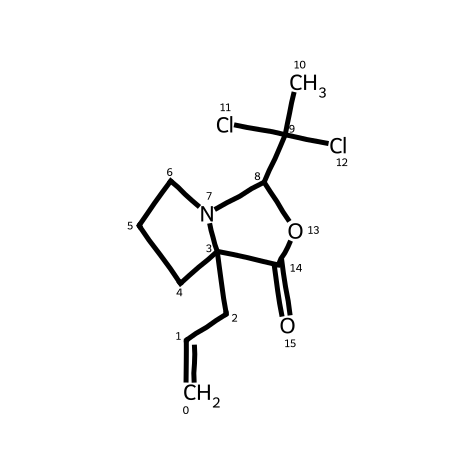 C=CCC12CCCN1C(C(C)(Cl)Cl)OC2=O